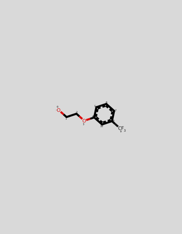 [O]CCOc1cccc(C(F)(F)F)c1